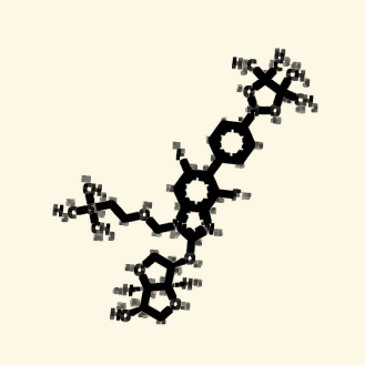 CC1(C)OB(c2ccc(-c3c(F)cc4c(nc(O[C@@H]5CO[C@H]6[C@@H]5OC[C@H]6O)n4COCC[Si](C)(C)C)c3F)cc2)OC1(C)C